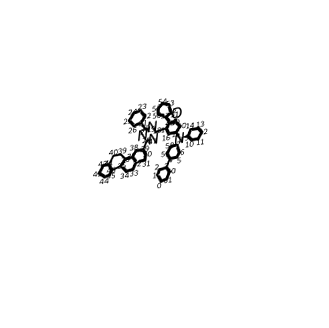 c1ccc(-c2ccc(N(c3ccccc3)c3cc(-c4nc(-c5ccccc5)nc(-c5ccc6ccc7c(c6c5)CCc5ccccc5-7)n4)c4c(c3)oc3ccccc34)cc2)cc1